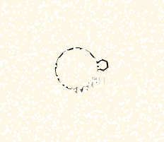 C1=CC=CC=CC=Cc2ccccc2ONN=NN=NC=CC=CC=C1